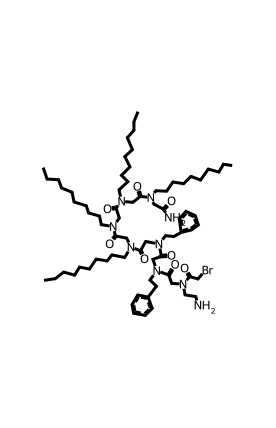 CCCCCCCCCCN(CC(N)=O)C(=O)CN(CCCCCCCCCC)C(=O)CN(CCCCCCCCCC)C(=O)CN(CCCCCCCCCC)C(=O)CN(CCc1ccccc1)C(=O)CN(CCc1ccccc1)C(=O)CN(CCN)C(=O)CBr